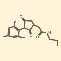 CCCNC(=O)CC1CC(=O)C(c2c(C)cc(C)cc2C)C1=O